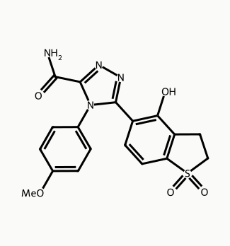 COc1ccc(-n2c(C(N)=O)nnc2-c2ccc3c(c2O)CCS3(=O)=O)cc1